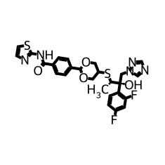 C[C@@H](SC1COC(c2ccc(C(=O)Nc3nccs3)cc2)OC1)[C@](O)(Cn1cncn1)c1ccc(F)cc1F